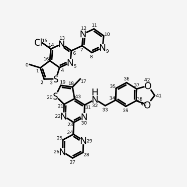 Cc1csc2nc(-c3cnccn3)nc(Cl)c12.Cc1csc2nc(-c3cnccn3)nc(NCc3ccc4c(c3)OCO4)c12